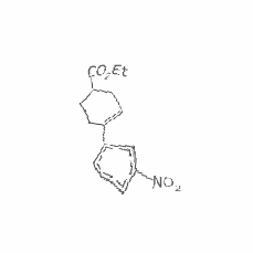 CCOC(=O)C1CC=C(c2cccc([N+](=O)[O-])c2)CC1